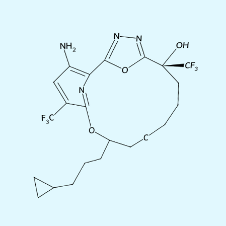 Nc1cc(C(F)(F)F)c2nc1-c1nnc(o1)[C@@](O)(C(F)(F)F)CCCCCC(CCCC1CC1)O2